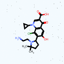 CC1(C)CCC(c2c(O)cc3c(=O)c(C(=O)O)cn(C4CC4)c3c2Cl)N1CCN